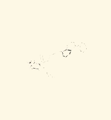 COC1=NS(=O)(=O)N(C)C(NCCCOc2cccc3c2CCCC3N2CCCCC2)=N1